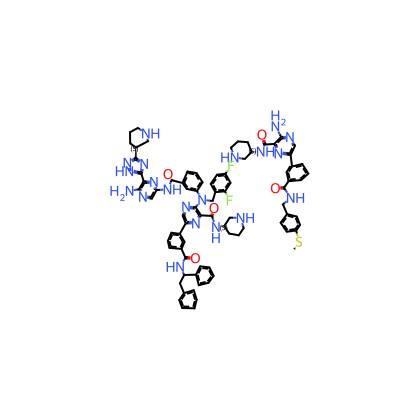 CSc1ccc(CNC(=O)c2cccc(-c3cnc(N)c(C(=O)N[C@H]4CCCNC4)n3)c2)cc1.Nc1ncc(NC(=O)c2cccc(N(Cc3ccc(F)cc3F)c3ncc(-c4cccc(C(=O)NC(Cc5ccccc5)c5ccccc5)c4)nc3C(=O)N[C@H]3CCCNC3)c2)nc1-c1nc([C@H]2CCCNC2)n[nH]1